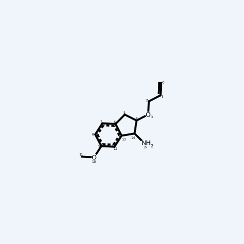 C=CCOC1Cc2ccc(OC)cc2C1N